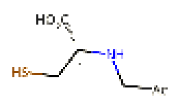 CC(=O)CN[C@H](CS)C(=O)O